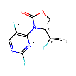 C[C@@H](F)[C@H]1COC(=O)N1c1nc(F)ncc1F